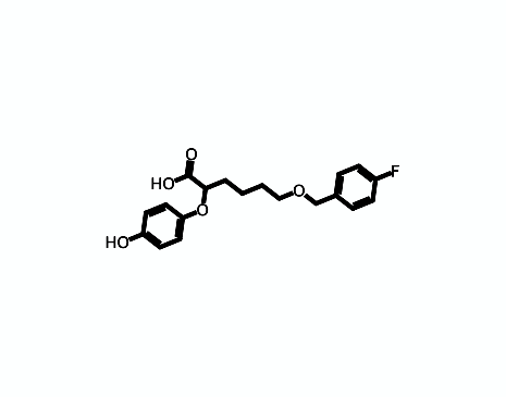 O=C(O)C(CCCCOCc1ccc(F)cc1)Oc1ccc(O)cc1